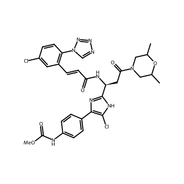 COC(=O)Nc1ccc(-c2nc([C@H](CC(=O)N3CC(C)OC(C)C3)NC(=O)/C=C/c3cc(Cl)ccc3-n3cnnn3)[nH]c2Cl)cc1